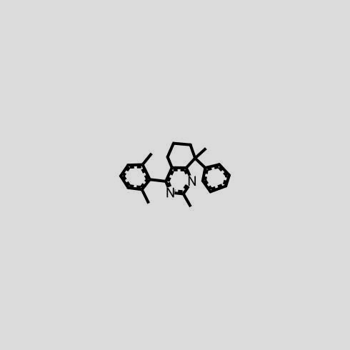 Cc1nc(-c2c(C)cccc2C)c2c(n1)C(C)(c1ccccc1)CCC2